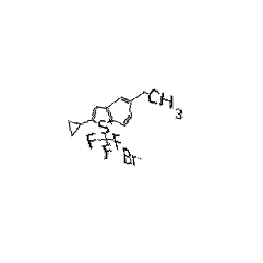 CCc1ccc2c(c1)cc(C1CC1)[s+]2C(F)(F)F.[Br-]